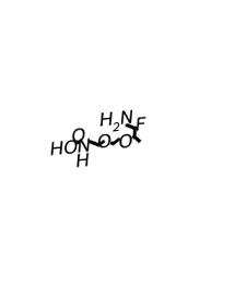 CC(OCCOCCNC(=O)O)C(F)CN